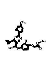 CCCC(Sc1ccc(OCC(=O)OC(C)(C)C)c(C)c1)c1cnc(-c2ccc(C(F)(F)F)cc2)nc1C1CC1